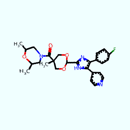 CC1CN(C(=O)C2(C)COC(c3nc(-c4ccc(F)cc4)c(-c4ccncc4)[nH]3)OC2)CC(C)O1